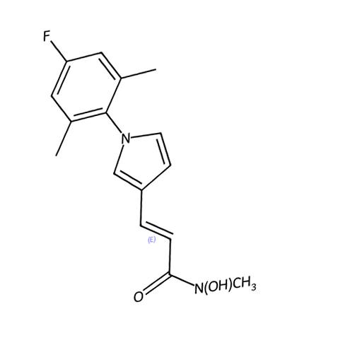 Cc1cc(F)cc(C)c1-n1ccc(/C=C/C(=O)N(C)O)c1